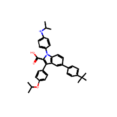 CC(C)Nc1ccc(-n2c(C(=O)O)c(-c3ccc(OC(C)C)cc3)c3cc(-c4ccc(C(C)(C)C)cc4)ccc32)cc1